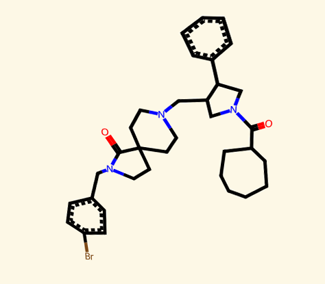 O=C(C1CCCCCC1)N1CC(CN2CCC3(CC2)CCN(Cc2ccc(Br)cc2)C3=O)C(c2ccccc2)C1